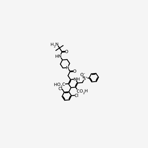 CC(C)(N)C(=O)NC1CCN(C(=O)CC2=C(C(=O)O)C(c3c(Cl)cccc3Cl)C(C(=O)O)=C(C[S@+]([O-])c3ccccc3)N2)CC1